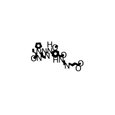 CC[C@@H]1C(=O)N(C)c2cnc(Nc3ccc(C(=O)NCCN(C)C/C=C/C(=O)OC)cc3OC)nc2N1C1CCCC1